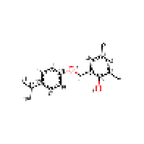 Cc1cc(C)c([O])c(COc2ccc(C(C)C)cc2)c1